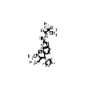 CCC(C(c1ccc2nc(NOC(=O)C(C)(C)C)sc2c1)n1ccnc1)N(C)C